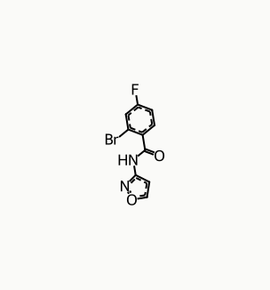 O=C(Nc1ccon1)c1ccc(F)cc1Br